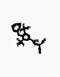 N#CC(C#N)=CNc1cc(C(F)(F)F)c(Cc2ccccc2)c(C(F)(F)F)c1